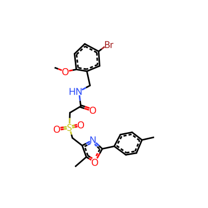 COc1ccc(Br)cc1CNC(=O)CS(=O)(=O)Cc1nc(-c2ccc(C)cc2)oc1C